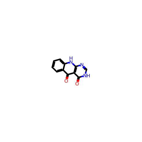 O=c1[nH]cnc2[nH]c3ccccc3c(=O)c12